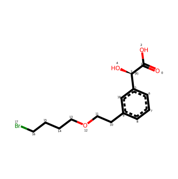 O=C(O)[C@H](O)c1cccc(CCOCCCCBr)c1